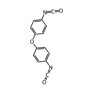 O=C=Nc1ccc(Oc2ccc(N=C=O)cc2)cc1